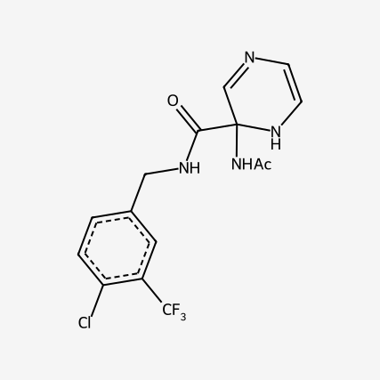 CC(=O)NC1(C(=O)NCc2ccc(Cl)c(C(F)(F)F)c2)C=NC=CN1